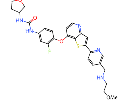 COCCNCc1ccc(-c2cc3nccc(Oc4ccc(NC(=O)N[C@@H]5CCOC5)cc4F)c3s2)nc1